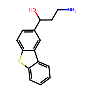 NCCC(O)c1ccc2sc3ccccc3c2c1